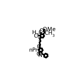 CCCc1c(OCCCSc2ccc(C(C)C(=O)OC)c(C)c2Cl)ccc2c(-c3ccccc3)noc12